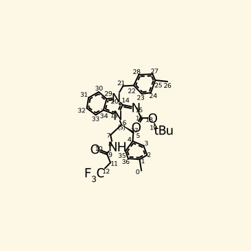 Cc1ccc(C[C@@H](CNC(=O)CC(F)(F)F)n2c(=NC(=O)OC(C)(C)C)n(Cc3ccc(C)cc3)c3ccccc32)cc1